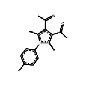 CC(=O)c1c(C(C)=O)c(C)n(-c2ccc(C)cc2)c1C